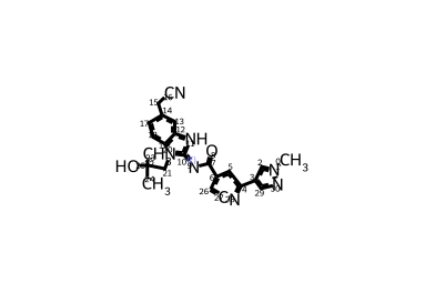 Cn1cc(-c2cc(C(=O)/N=c3\[nH]c4cc(CC#N)ccc4n3CC(C)(C)O)ccn2)cn1